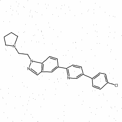 Clc1ccc(-c2ccc(-c3ccc4c(cnn4CCN4CCCC4)c3)nc2)cc1